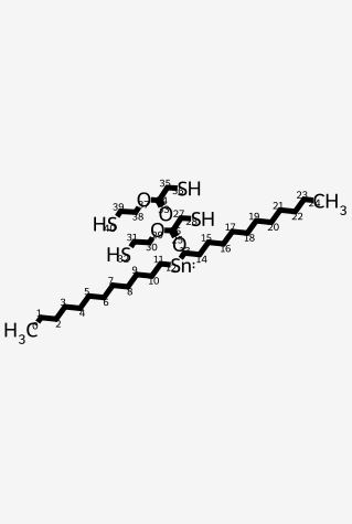 CCCCCCCCCCC[CH2][Sn][CH2]CCCCCCCCCCC.O=C(CS)OCCS.O=C(CS)OCCS